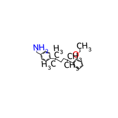 CCOc1ccccc1C(C)(C)CCC(C)(C)c1ccc(CN)cc1